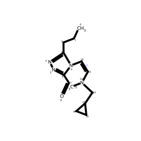 CCCc1nnc(C=O)n1/C=C\N(C)CC1CC1